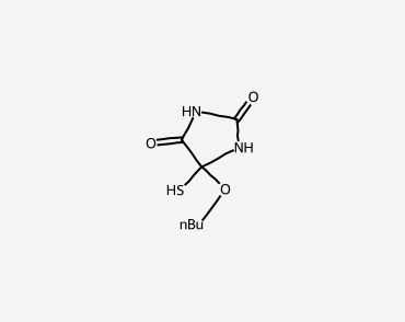 CCCCOC1(S)NC(=O)NC1=O